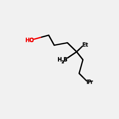 BC(CC)(CCCO)CCC(C)C